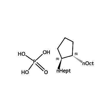 CCCCCCCC[C@H]1CCC[C@@H]1CCCCCCC.O=P(O)(O)O